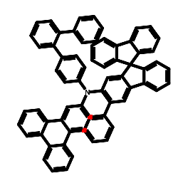 c1ccc(-c2ccccc2-c2ccc(N(c3ccc4c5ccccc5c5ccccc5c4c3)c3cc4c(cc3-c3ccccc3)-c3ccccc3C43c4ccccc4-c4ccccc43)cc2)cc1